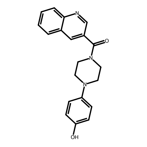 O=C(c1cnc2ccccc2c1)N1CCN(c2ccc(O)cc2)CC1